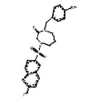 N#Cc1ccc(CN2CCCN(S(=O)(=O)c3ccc4cc(Cl)ccc4c3)CC2=O)cc1